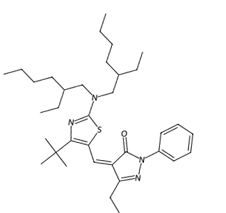 CCCCC(CC)CN(CC(CC)CCCC)c1nc(C(C)(C)C)c(/C=C2\C(=O)N(c3ccccc3)N=C2CC)s1